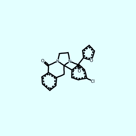 O=C(c1ccco1)N1CCN2C(=O)c3ccccc3CC12c1ccc(Cl)cc1